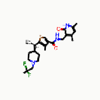 CC[C@@H](c1scc(C(=O)NCc2c(C)cc(C)[nH]c2=O)c1C)C1CCN(CC(C)(F)F)CC1